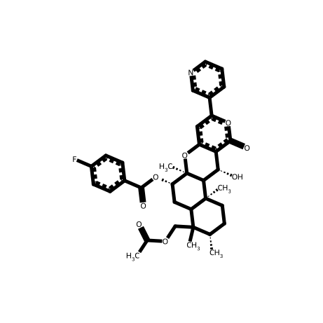 CC(=O)OCC1(C)C2C[C@H](OC(=O)c3ccc(F)cc3)[C@@]3(C)Oc4cc(-c5cccnc5)oc(=O)c4[C@H](O)C3[C@@]2(C)CC[C@@H]1C